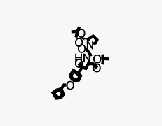 C[C@H](NC(CC(=O)c1ccc(OCc2ccccc2)cc1)C(=O)OC(C)(C)C)C(=O)N1CCC[C@H]1C(=O)OC(C)(C)C